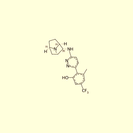 Cc1cc(C(F)(F)F)cc(O)c1-c1ccc(N[C@@H]2CC[C@H]3CC[C@@H]2N3C)nn1